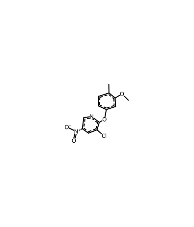 COc1cc(Oc2ncc([N+](=O)[O-])cc2Cl)ccc1C